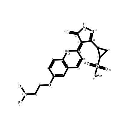 CCN(CC)CCOc1ccc2c(c1)C=CC(=C1C(=O)NN=C1C1CC1S(=O)(=O)NC)N2